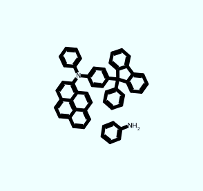 Nc1ccccc1.c1ccc(N(c2ccc(C3(c4ccccc4)c4ccccc4-c4ccccc43)cc2)c2ccc3ccc4cccc5ccc2c3c45)cc1